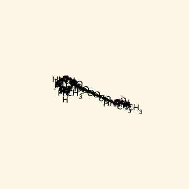 Cc1cnc(NC(=O)c2ccc(NCCOCCOCCOCCOCCOCCNC(=O)CN3CCN(Cc4ccc(Nc5ncc(F)c(-c6cc(F)c7c(c6)N(C(C)C)C(C)N7)n5)nc4)CC3)cc2C)s1